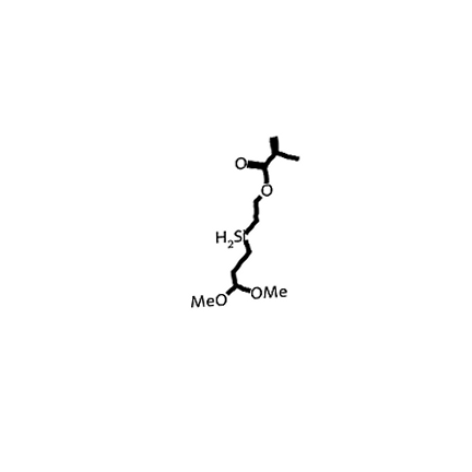 C=C(C)C(=O)OCC[SiH2]CCC(OC)OC